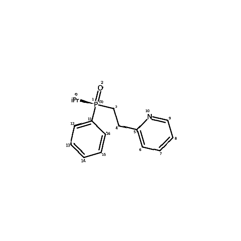 CC(C)[P@@](=O)(CCc1ccccn1)c1ccccc1